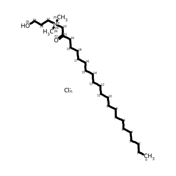 CCCCCCCCCCCCCCCCCCCCCC(=O)C[N+](C)(C)CCCO.[Cl-]